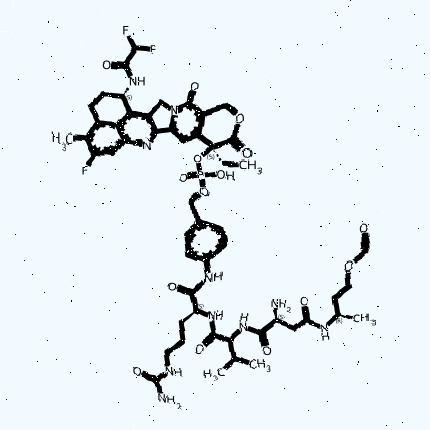 CC[C@@]1(OP(=O)(O)OCc2ccc(NC(=O)[C@H](CCCNC(N)=O)NC(=O)C(NC(=O)[C@@H](N)CC(=O)N[C@H](C)CCOC=O)C(C)C)cc2)C(=O)OCc2c1cc1n(c2=O)Cc2c-1nc1cc(F)c(C)c3c1c2[C@@H](NC(=O)C(F)F)CC3